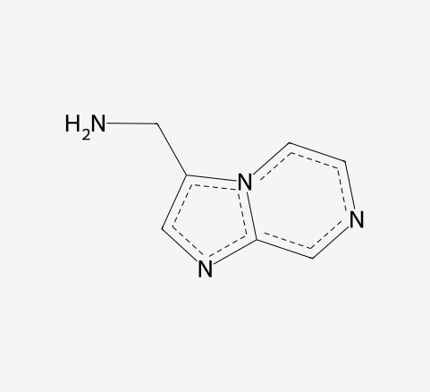 NCc1cnc2cnccn12